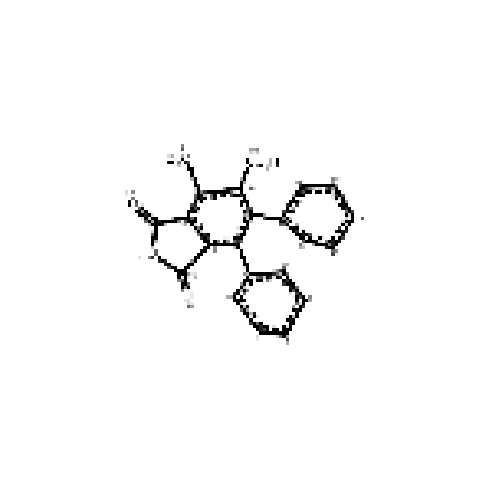 O=C(O)c1c2c(c(-c3ccccc3)c(-c3ccccc3)c1C(=O)O)C(=O)OC2=O